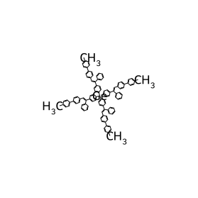 Cc1ccc(-c2ccc(/C=C(\c3ccccc3)c3cc[c]([Ge]([c]4ccc(/C(=C/c5ccc(-c6ccc(C)cc6)cc5)c5ccccc5)cc4)([c]4ccc(/C(=C/c5ccc(-c6ccc(C)cc6)cc5)c5ccccc5)cc4)[c]4ccc(/C(=C/c5ccc(-c6ccc(C)cc6)cc5)c5ccccc5)cc4)cc3)cc2)cc1